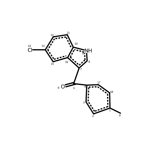 Cc1ccc(C(=O)c2c[nH]c3ccc(Cl)cc23)cc1